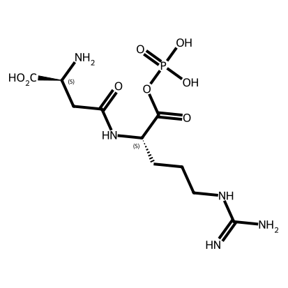 N=C(N)NCCC[C@H](NC(=O)C[C@H](N)C(=O)O)C(=O)OP(=O)(O)O